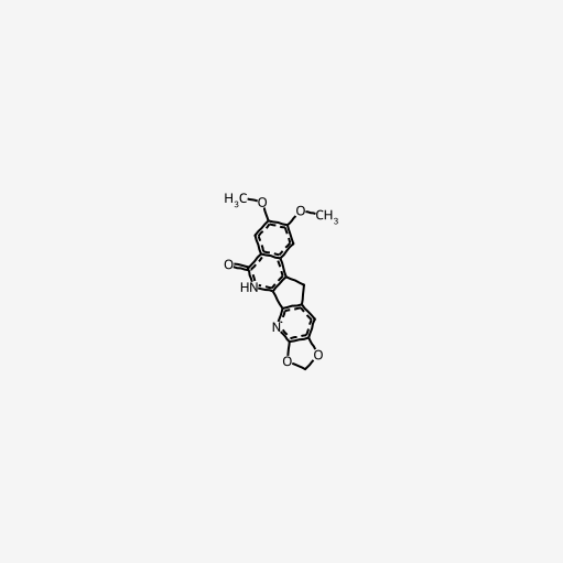 COc1cc2c3c([nH]c(=O)c2cc1OC)-c1nc2c(cc1C3)OCO2